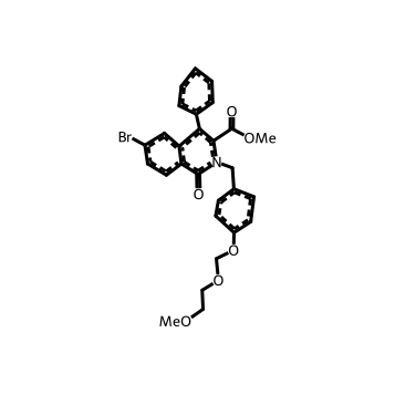 COCCOCOc1ccc(Cn2c(C(=O)OC)c(-c3ccccc3)c3cc(Br)ccc3c2=O)cc1